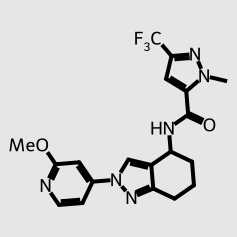 COc1cc(-n2cc3c(n2)CCCC3NC(=O)c2cc(C(F)(F)F)nn2C)ccn1